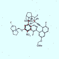 COCOc1cc(-c2ncc3c(N4CC5CCC(C(F)F)(C4)N5S(=O)(=O)c4ccc([N+](=O)[O-])cc4)nc(OC[C@@]45CCCN4C[C@H](F)C5)nc3c2F)c2c(C#C[Si](C(C)C)(C(C)C)C(C)C)c(F)ccc2c1